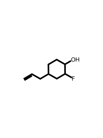 C=CCC1CCC(O)C(F)C1